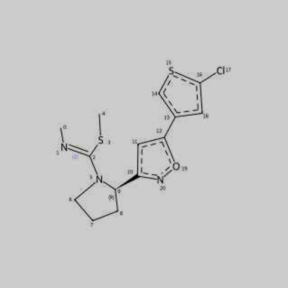 C/N=C(\SC)N1CCC[C@@H]1c1cc(-c2csc(Cl)c2)on1